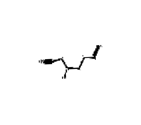 C=CCC[C@@H](C)CC#N